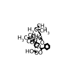 CC(C)(C)[Si](C)(C)O[C@@H]1C[C@@H](C(=O)O)N(C(=O)c2ccccc2OCOCC[Si](C)(C)C)C1